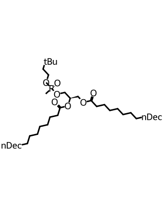 CCCCCCCCCCCCCCCCCC(=O)OC[C@H](COP(C)(=O)OCCC(C)(C)C)OC(=O)CCCCCCCCCCCCCCCCC